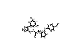 COc1ccc(Cn2nccc2NC(=O)CSc2nnnn2-c2cc(C)cc(C)c2)cc1